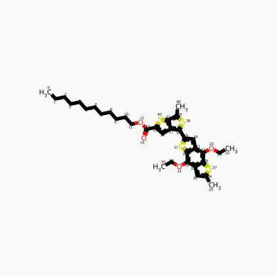 CCCCCCCCCCCCOC(=O)c1cc2c(-c3cc4c(OCC)c5sc(C)cc5c(OCC)c4s3)sc(C)c2s1